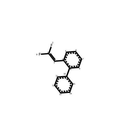 FC(F)=Cc1ccccc1-c1ccccc1